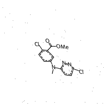 COC(=O)c1cc(N(C)c2ccc(Cl)nn2)ccc1Cl